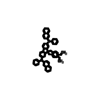 C=Cc1ccc(CC2(Cc3ccc(C=C)cc3)c3cc(N(c4ccccc4)c4ccc5ccccc5c4)ccc3-c3ccc(N(c4ccccc4)c4ccc5ccccc5c4)cc32)cc1